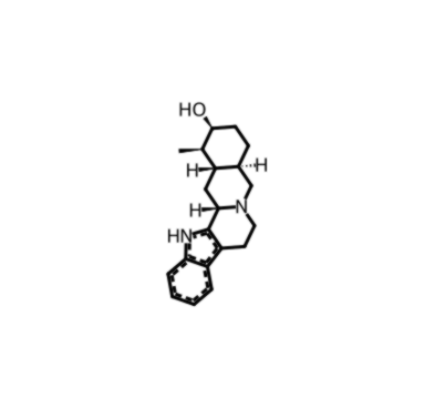 C[C@@H]1[C@H]2C[C@H]3c4[nH]c5ccccc5c4CCN3C[C@@H]2CC[C@@H]1O